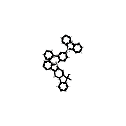 CC1(C)C2=Cc3c(c4ccccc4n3-c3ccc(-n4c5ccccc5c5ccccc54)cc3-c3ccccc3)CC2c2ccccc21